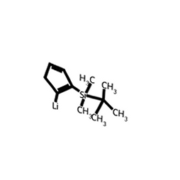 [Li][C]1=C([Si](C)(C)C(C)(C)C)C=CC1